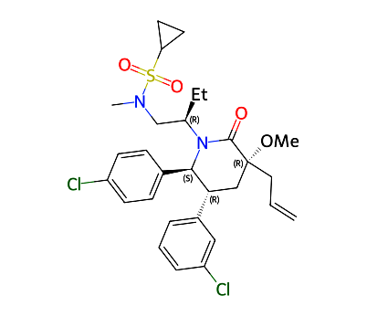 C=CC[C@@]1(OC)C[C@H](c2cccc(Cl)c2)[C@@H](c2ccc(Cl)cc2)N([C@H](CC)CN(C)S(=O)(=O)C2CC2)C1=O